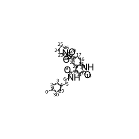 Cc1ccc(CCNC(=O)c2cc(=O)[nH]c3ccc(S(=O)(=O)N4CCCC4)cc23)cc1